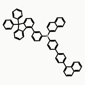 c1ccc(C2(c3ccccc3)c3ccccc3-c3c(-c4cccc(N(c5ccc(-c6ccc(-c7cccc8ccccc78)cc6)cc5)c5ccc6ccccc6c5)c4)cccc32)cc1